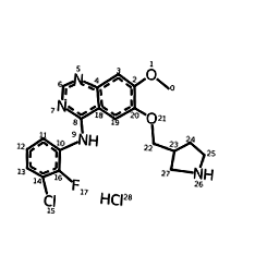 COc1cc2ncnc(Nc3cccc(Cl)c3F)c2cc1OCC1CCNC1.Cl